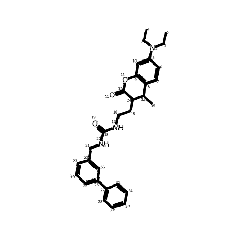 CCN(CC)c1ccc2c(c1)OC(=O)C(CCNC(=O)NCc1cccc(-c3ccccc3)c1)C2C